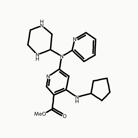 COC(=O)c1cnc(N(c2ccccn2)C2CNCCN2)cc1NC1CCCC1